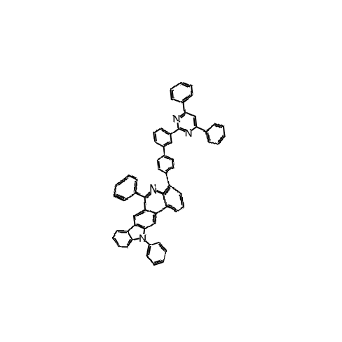 c1ccc(-c2cc(-c3ccccc3)nc(-c3cccc(-c4ccc(-c5cccc6c5nc(-c5ccccc5)c5cc7c8ccccc8n(-c8ccccc8)c7cc56)cc4)c3)n2)cc1